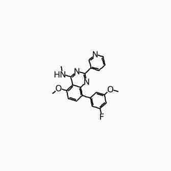 CNc1nc(-c2cccnc2)nc2c(-c3cc(F)cc(OC)c3)ccc(OC)c12